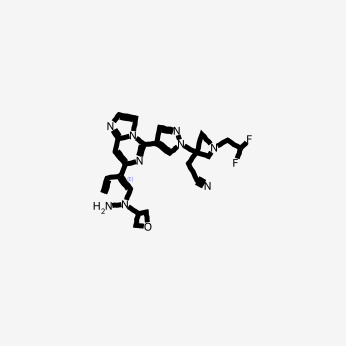 C=C/C(=C\N(N)C1COC1)c1cc2nccn2c(-c2cnn(C3(CC#N)CN(CC(F)F)C3)c2)n1